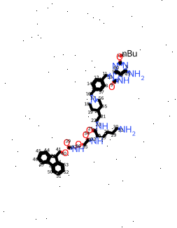 CCCCOc1nc(N)c2[nH]c(=O)n(Cc3ccc(CN4CCC(CCNC(=O)[C@@H](CCCCN)NC(=O)CONC(=O)OCC5c6ccccc6-c6ccccc65)CC4)cc3)c2n1